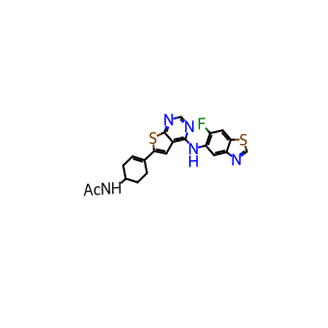 CC(=O)NC1CC=C(c2cc3c(Nc4cc5ncsc5cc4F)ncnc3s2)CC1